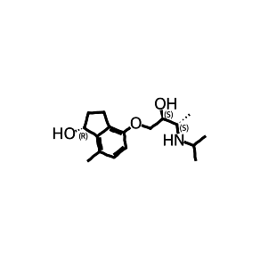 Cc1ccc(OC[C@@H](O)[C@H](C)NC(C)C)c2c1[C@H](O)CC2